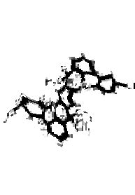 Cc1ccc2c(c1)c1cccc3c1n2-c1cc2c(cc1C3(C)C)-n1c3ccc(C)cc3c3cccc(c31)C2(C)C